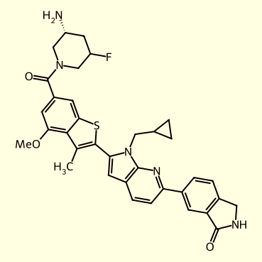 COc1cc(C(=O)N2CC(F)C[C@@H](N)C2)cc2sc(-c3cc4ccc(-c5ccc6c(c5)C(=O)NC6)nc4n3CC3CC3)c(C)c12